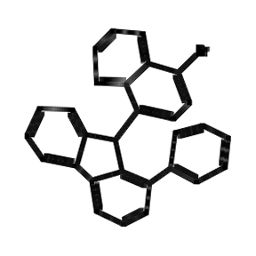 Brc1ccc(C2c3ccccc3-c3cccc(-c4ccccc4)c32)c2ccccc12